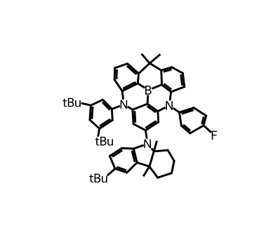 CC(C)(C)c1cc(N2c3cc(N4c5ccc(C(C)(C)C)cc5C5(C)CCCCC45C)cc4c3B3c5c(cccc5C(C)(C)c5cccc2c53)N4c2ccc(F)cc2)cc(C(C)(C)C)c1